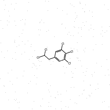 Clc1cc([CH]C(Cl)Cl)cc(Cl)c1Cl